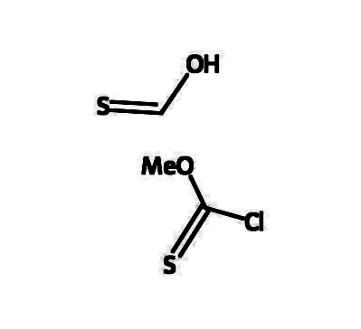 COC(=S)Cl.OC=S